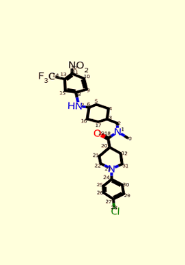 CN(CC1CCC(Nc2ccc([N+](=O)[O-])c(C(F)(F)F)c2)CC1)C(=O)C1CCN(c2ccc(Cl)cc2)CC1